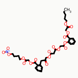 CCCCCOC(=O)COC(=O)c1ccccc1OC(=O)COC(=O)CC(=O)OCC(=O)Cc1ccccc1C(=O)OCC(=O)OCCCCO[N+](=O)[O-]